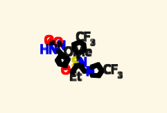 CCC(Oc1ccc(-c2noc(=O)[nH]2)c(OC)c1)c1sc([C@H]2CC[C@H](C(F)(F)F)CC2)nc1CN1CCC(C(F)(F)F)CC1